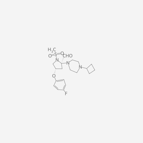 CS(=O)(=O)N1C[C@@H](Oc2ccc(F)cc2)C[C@]1(C=O)N1CCN(C2CCC2)CC1